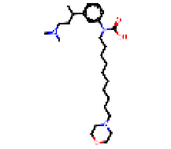 CC(CCN(C)C)c1cccc(N(CCCCCCCCCCN2CCOCC2)C(=O)O)c1